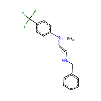 B.FC(F)(F)c1ccc(N/C=C/NCc2ccccc2)cc1